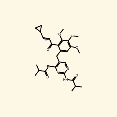 COc1cc(Cc2cnc(NC(=O)C(C)C)nc2NC(=O)C(C)C)c(C(=O)/C=C/C2CC2)c(OC)c1OC